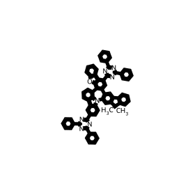 CC1(C)c2ccccc2-c2cc3c(cc21)-n1c2ccc(-c4nc(-c5ccccc5)nc(-c5ccccc5)n4)cc2c2cccc(c21)-c1c-3cc(-c2nc(-c3ccccc3)nc(-c3ccccc3)n2)c2c1oc1ccccc12